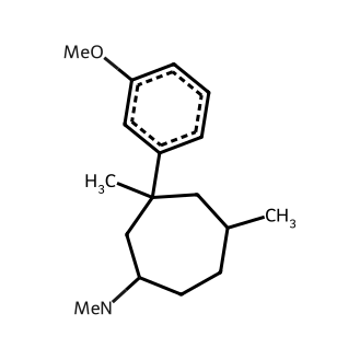 CNC1CCC(C)CC(C)(c2cccc(OC)c2)C1